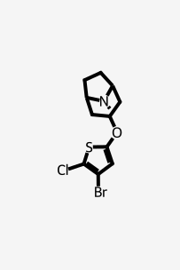 CN1C2CCC1CC(Oc1cc(Br)c(Cl)s1)C2